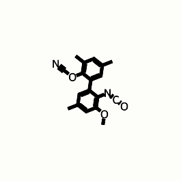 COc1cc(C)cc(-c2cc(C)cc(C)c2OC#N)c1N=C=O